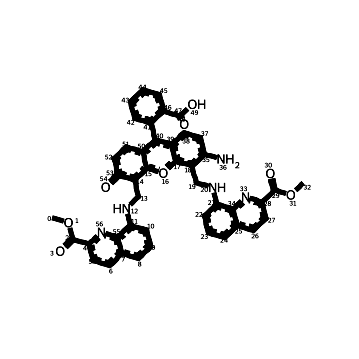 COC(=O)c1ccc2cccc(NCc3c4oc5c(CNc6cccc7ccc(C(=O)OC)nc67)c(N)ccc5c(-c5ccccc5C(=O)O)c-4ccc3=O)c2n1